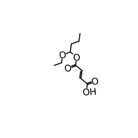 CCCC(OCC)OC(=O)C=CC(=O)O